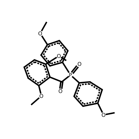 COc1ccc(P(=O)(C(=O)c2c(OC)cccc2OC)c2ccc(OC)cc2)cc1